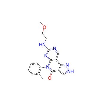 COCCNc1ncc2c3n[nH]cc3c(=O)n(-c3ccccc3C)c2n1